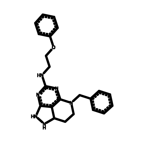 c1ccc(CN2CCC3NNc4nc(NCCOc5ccccc5)nc2c43)cc1